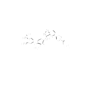 C=CC(=O)N1CC=C(c2ccc3ncnc(Nc4ccc(Oc5ccn(NC)c(=N)c5)c(C)c4F)c3n2)CC1